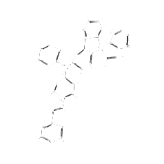 O=C([O-])[N+]1(c2ccccc2)c2ccccc2-c2cc(N(c3ccccc3)c3ccc(C=Cc4ccccc4)cc3)ccc21